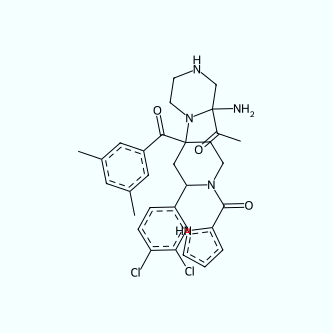 CC(=O)C1(N)CNCCN1C1(C(=O)c2cc(C)cc(C)c2)CCN(C(=O)c2ccc[nH]2)C(c2ccc(Cl)c(Cl)c2)C1